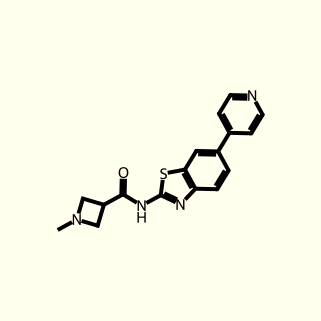 CN1CC(C(=O)Nc2nc3ccc(-c4ccncc4)cc3s2)C1